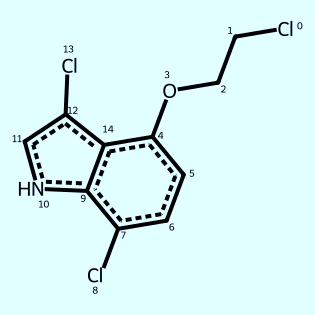 ClCCOc1ccc(Cl)c2[nH]cc(Cl)c12